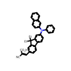 CCC1(CC)c2cc(C=C(C#N)C(=O)O)ccc2-c2ccc(N(c3ccccc3)c3ccc4ccccc4c3)cc21